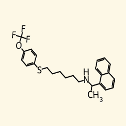 CC(NCCCCCCSc1ccc(OC(F)(F)F)cc1)c1cccc2ccccc12